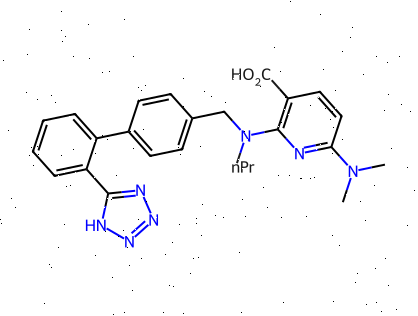 CCCN(Cc1ccc(-c2ccccc2-c2nnn[nH]2)cc1)c1nc(N(C)C)ccc1C(=O)O